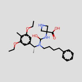 CCOc1cc([C@@H](C)N(CCCCc2ccccc2)C(O)NC2(C(=O)O)CNC2)cc(OCC)c1C